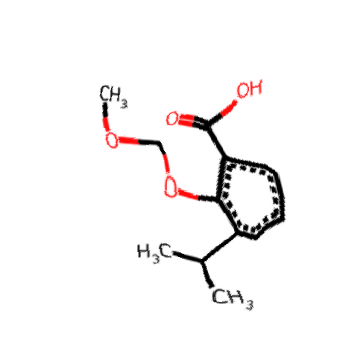 COCOc1c(C(=O)O)cccc1C(C)C